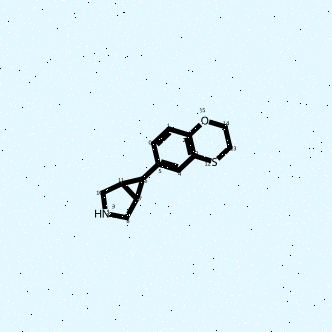 c1cc2c(cc1C1C3CNCC31)SCCO2